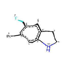 CC(C)c1cc2c(cc1F)CCN2